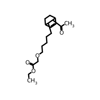 CCOC(=O)COCCCCCC1C2C=CC(CC2)C1C(C)=O